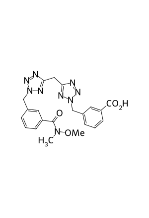 CON(C)C(=O)c1cccc(Cn2nnc(Cc3nnn(Cc4cccc(C(=O)O)c4)n3)n2)c1